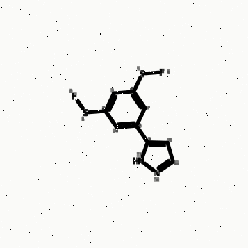 FSc1cc(SF)cc(-c2ccn[nH]2)c1